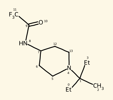 CCC(C)(CC)N1CCC(NC(=O)C(F)(F)F)CC1